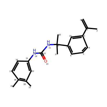 C=C(C)c1cccc(C(C)(C)NC(=O)Nc2ccc(C)c(C)c2)c1